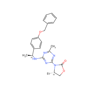 CC[C@H]1COC(=O)N1c1nc(C)nc(N[C@@H](C)c2ccc(OCc3ccccc3)cc2)n1